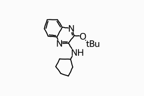 CC(C)(C)Oc1nc2ccccc2nc1NC1CCCCC1